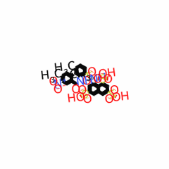 Cc1ccc(S(=O)(=O)Nc2cc(S(=O)(=O)O)cc3cc(S(=O)(=O)O)cc(S(=O)(=O)O)c23)c(NC(=O)c2cc([N+](=O)[O-])c(C)cc2C)c1